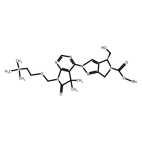 CC(C)(C)OC(=O)N1Cc2nn(-c3ncnc4c3C(C)(C)C(=O)N4COCC[Si](C)(C)C)cc2[C@H]1CO